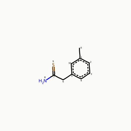 Cc1cccc(CC(N)=S)c1